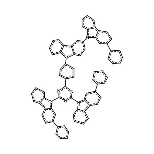 c1ccc(-c2ccc3c4ccccc4n(-c4ccc5c(c4)c4ccccc4n5-c4ccc(-c5nc(-n6c7ccccc7c7ccc(-c8ccccc8)cc76)nc(-n6c7ccccc7c7ccc(-c8ccccc8)cc76)n5)cc4)c3c2)cc1